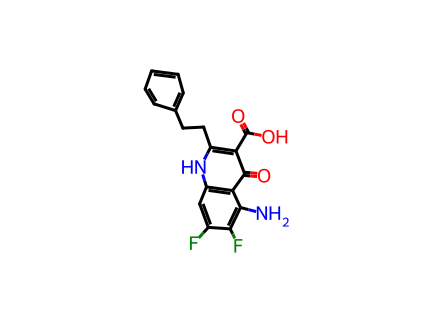 Nc1c(F)c(F)cc2[nH]c(CCc3ccccc3)c(C(=O)O)c(=O)c12